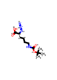 CC(C)(C)OC(=O)NCCCC[C@@H](N=[N+]=[N-])C(=O)O